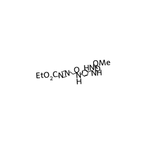 CCOC(=O)CN1CCN(CCC(=O)Nc2ccc(C(=N)NC(=O)OC)cc2)CC1